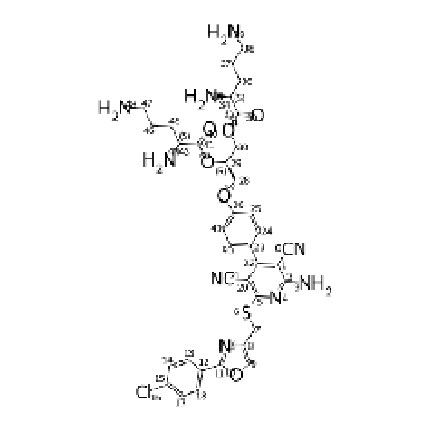 N#Cc1c(N)nc(SCc2coc(-c3ccc(Cl)cc3)n2)c(C#N)c1-c1ccc(OC[C@H](COC(=O)[C@@H](N)CCCN)OC(=O)[C@@H](N)CCCN)cc1